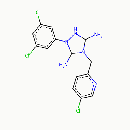 NC1NN(c2cc(Cl)cc(Cl)c2)C(N)N1Cc1ccc(Cl)cn1